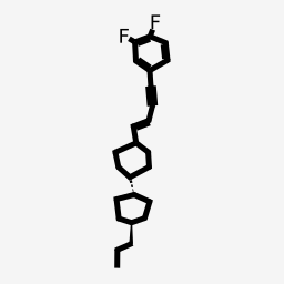 CCC[C@H]1CC[C@H](C2CCC(C=CC#Cc3ccc(F)c(F)c3)CC2)CC1